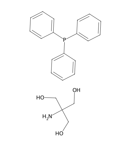 NC(CO)(CO)CO.c1ccc(P(c2ccccc2)c2ccccc2)cc1